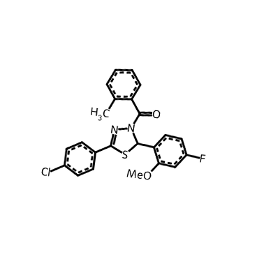 COc1cc(F)ccc1C1SC(c2ccc(Cl)cc2)=NN1C(=O)c1ccccc1C